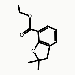 CCOC(=O)c1cccc2c1OC(C)(C)C2